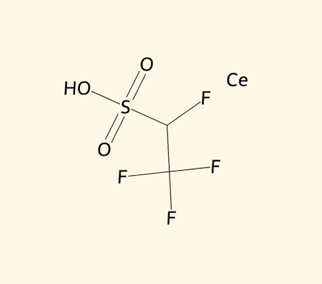 O=S(=O)(O)C(F)C(F)(F)F.[Ce]